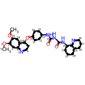 COc1cc2nccc(Oc3ccc(NC(=O)NC(=O)Nc4cccc5cccnc45)cc3)c2cc1OC